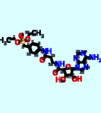 CCOP(=O)(Cc1ccc(NC(=O)CCNC(=O)[C@H]2O[C@@H](n3cnc4c(N)ncnc43)[C@H](O)[C@@H]2O)cc1)OCC